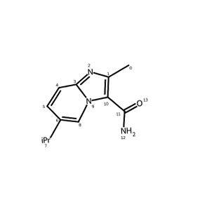 Cc1nc2ccc(C(C)C)cn2c1C(N)=O